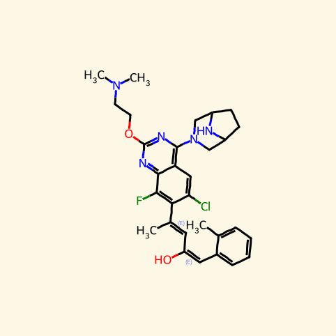 C/C(=C\C(O)=C/c1ccccc1C)c1c(Cl)cc2c(N3CC4CCC(C3)N4)nc(OCCN(C)C)nc2c1F